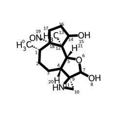 C[C@H]1CC[C@@H]2[C@@H](OC(O)[C@]23CN3)[C@]2(C)C(O)CC[C@]12N=O